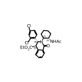 CCOC(=O)[C@@H]1c2ccccc2C(=O)N([C@H]2CCCC[C@@H]2NC(C)=O)[C@H]1c1ccc(Cl)cc1Cl